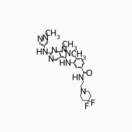 Cc1ccc(C(=O)NCCN2CCC(F)(F)CC2)cc1Nc1nn(C)c2nc(Nc3cnn(C)c3)ncc12